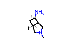 CN1CC2[C@H](C[C@H]2N)C1